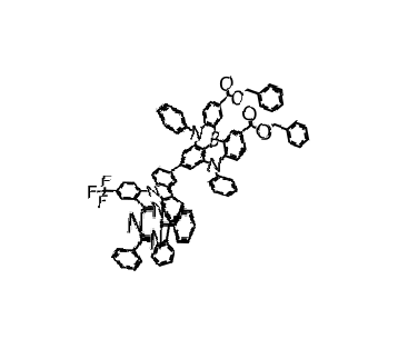 O=C(OCc1ccccc1)c1ccc2c(c1)B1c3cc(C(=O)OCc4ccccc4)ccc3N(c3ccccc3)c3cc(-c4ccc5c(c4)c4ccc(-c6ccccc6)cc4n5-c4ccc(C(F)(F)F)cc4-c4nc(-c5ccccc5)nc(-c5ccccc5)n4)cc(c31)N2c1ccccc1